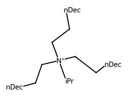 CCCCCCCCCCCC[N+](CCCCCCCCCCCC)(CCCCCCCCCCCC)C(C)C